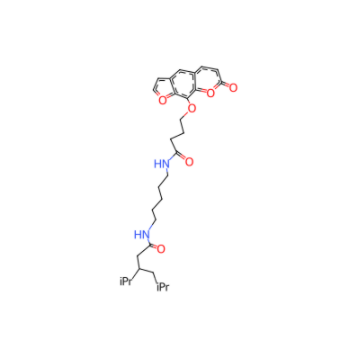 CC(C)CC(CC(=O)NCCCCCNC(=O)CCCOc1c2occc2cc2ccc(=O)oc12)C(C)C